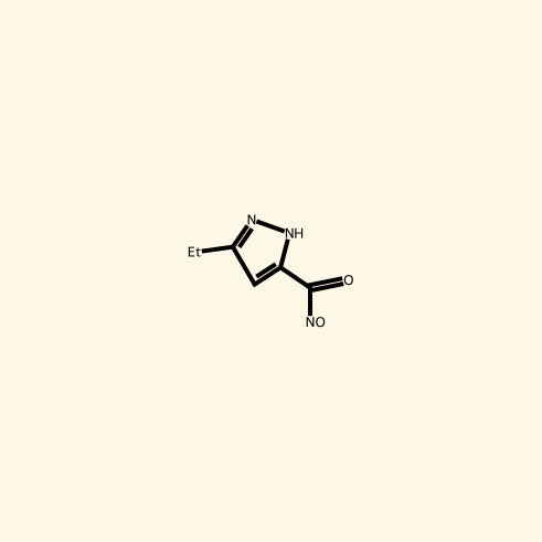 CCc1cc(C(=O)N=O)[nH]n1